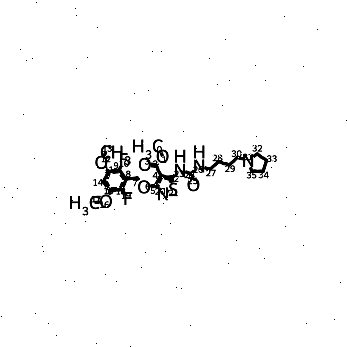 COC(=O)c1c(OCc2c(F)c(OC)cc(OC)c2F)nsc1NC(=O)NCCCCN1CCCC1